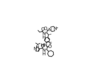 CCC(=O)N[C@@H](C(=O)N1CCN(C)CC1)[C@@H](C)c1ccc(NC(=O)[C@@H](NC(=O)c2ccnn2C(C)C)C2CCCCCC2)c(F)c1